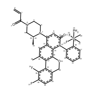 C=CC(=O)N1CCN(c2nc(=O)n(-c3ccccc3S(C)(C)(F)(F)P)c3c4c(c(C)cc23)-c2c(ccc(F)c2F)CO4)[C@@H](C)C1